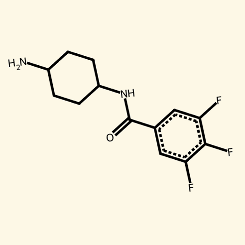 NC1CCC(NC(=O)c2cc(F)c(F)c(F)c2)CC1